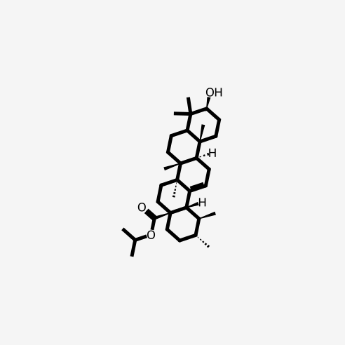 CC(C)OC(=O)[C@]12CC[C@@H](C)[C@H](C)[C@H]1C1=CC[C@@H]3[C@@]4(C)CC[C@H](O)C(C)(C)C4CC[C@@]3(C)[C@]1(C)CC2